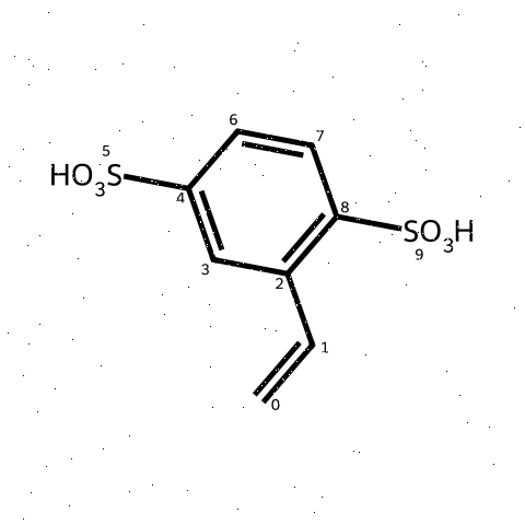 C=Cc1cc(S(=O)(=O)O)ccc1S(=O)(=O)O